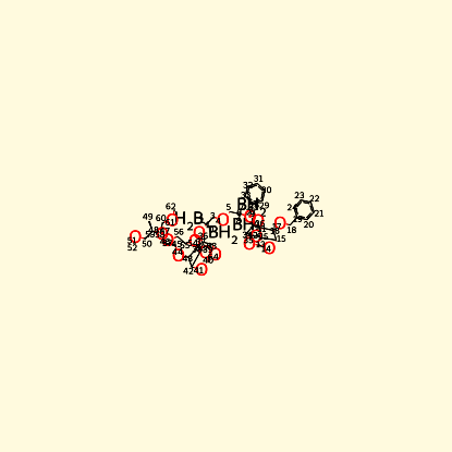 BC(B)(COCC(B)(B)OC1C2OC3OC(C2OCc2ccccc2)C(OCc2ccccc2)C1O3)OC1C2OC3OC(C2OCCO[C@H](C)COC)C(OCCO[C@H](C)COC)C1O3